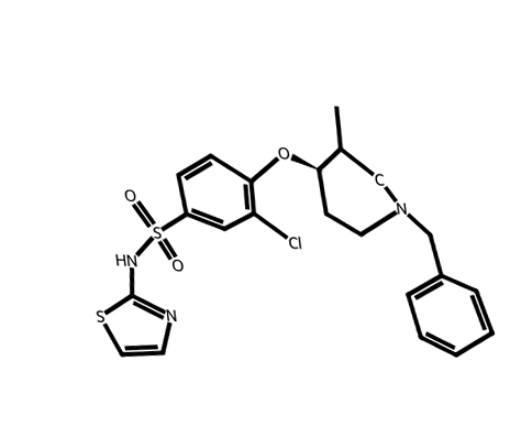 CC1CN(Cc2ccccc2)CC[C@H]1Oc1ccc(S(=O)(=O)Nc2nccs2)cc1Cl